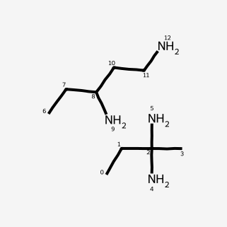 CCC(C)(N)N.CCC(N)CCN